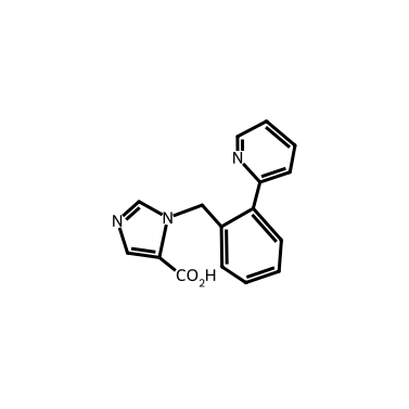 O=C(O)c1cncn1Cc1ccccc1-c1ccccn1